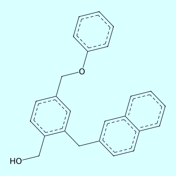 OCc1ccc(COc2ccccc2)cc1Cc1ccc2ccccc2c1